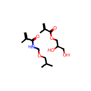 C=C(C)C(=O)NCOCC(C)C.C=C(C)C(=O)OCC(O)CO